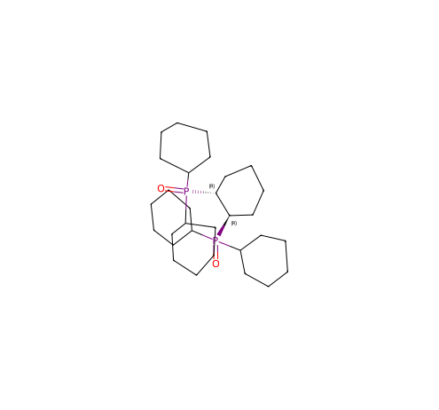 O=P(C1CCCCC1)(C1CCCCC1)[C@@H]1CCCC[C@H]1P(=O)(C1CCCCC1)C1CCCCC1